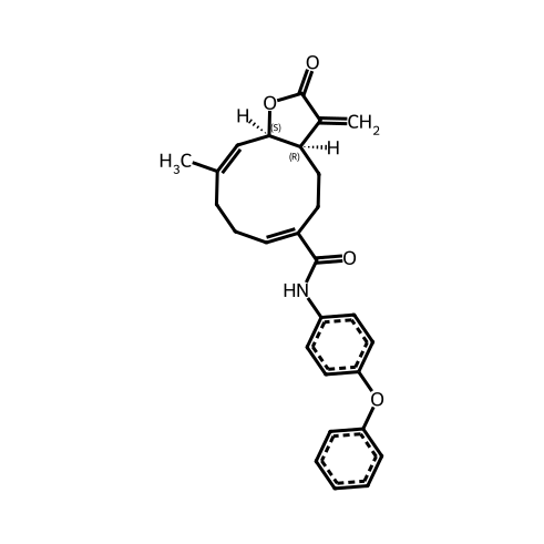 C=C1C(=O)O[C@@H]2C=C(C)CCC=C(C(=O)Nc3ccc(Oc4ccccc4)cc3)CC[C@H]12